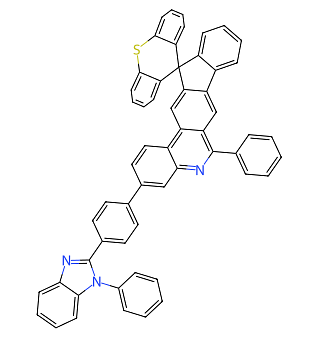 c1ccc(-c2nc3cc(-c4ccc(-c5nc6ccccc6n5-c5ccccc5)cc4)ccc3c3cc4c(cc23)-c2ccccc2C42c3ccccc3Sc3ccccc32)cc1